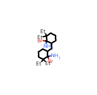 CCC1(CC)CCCC(CC2CCCC(CC)(CC)C2(N)Br)C1(N)Br